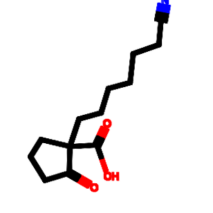 N#CCCCCCCC1(C(=O)O)CCCC1=O